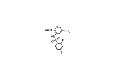 COc1ncc(C)cc1NS(=O)(=O)c1ccc(F)cc1F